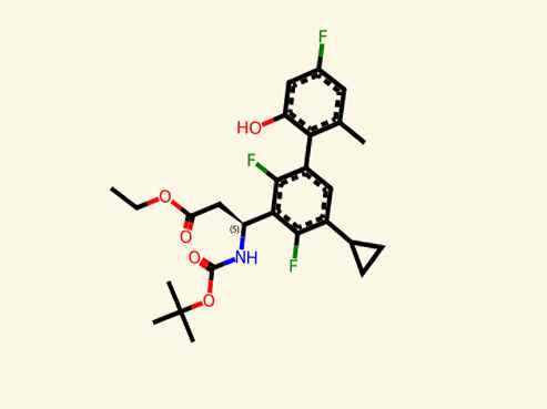 CCOC(=O)C[C@H](NC(=O)OC(C)(C)C)c1c(F)c(-c2c(C)cc(F)cc2O)cc(C2CC2)c1F